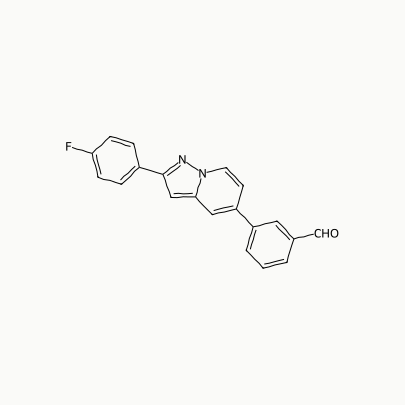 O=Cc1cccc(-c2ccn3nc(-c4ccc(F)cc4)cc3c2)c1